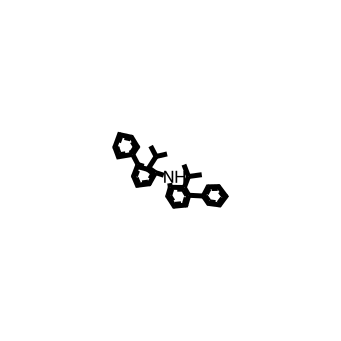 CC(C)c1c(Nc2cccc(-c3ccccc3)c2C(C)C)cccc1-c1ccccc1